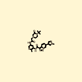 Cc1ncc(NC(=O)CN2CCN(C(C)(C)C)C(=O)C2)cc1NC(=O)c1nnn2cc(-c3cnn(C)c3)ccc12